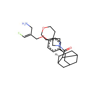 NC/C(=C\F)COc1ccc([C@]23CC4CC(C2)[C@H](C(=O)N2CC5(CCOCC5)C2)C(C4)C3)cc1